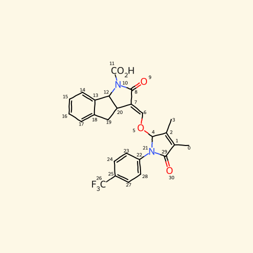 CC1=C(C)C(O/C=C2/C(=O)N(C(=O)O)C3c4ccccc4CC23)N(c2ccc(C(F)(F)F)cc2)C1=O